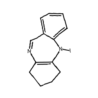 IN1C2=C(CCCC2)N=Cc2ccccc21